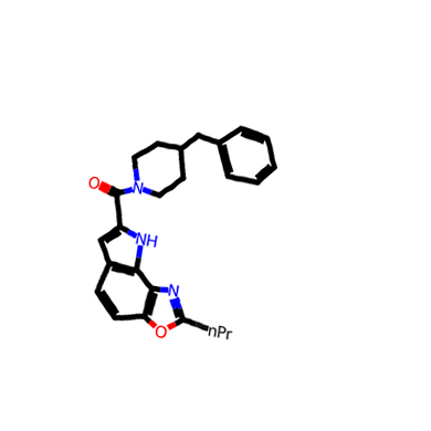 CCCc1nc2c(ccc3cc(C(=O)N4CCC(Cc5ccccc5)CC4)[nH]c32)o1